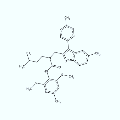 CSc1cc(C)nc(SC)c1NC(=O)N(CCC(C)C)Cc1oc2ccc(C)cc2c1-c1ccc(C)cc1